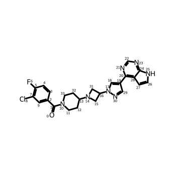 O=C(c1ccc(F)c(Cl)c1)N1CCC(N2C[C](n3cc(-c4ncnc5[nH]ccc45)cn3)C2)CC1